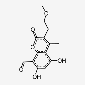 COCCc1c(C)c2c(O)cc(O)c(C=O)c2oc1=O